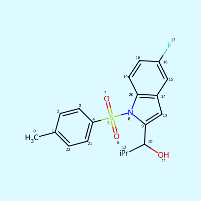 Cc1ccc(S(=O)(=O)n2c(C(O)C(C)C)cc3cc(F)ccc32)cc1